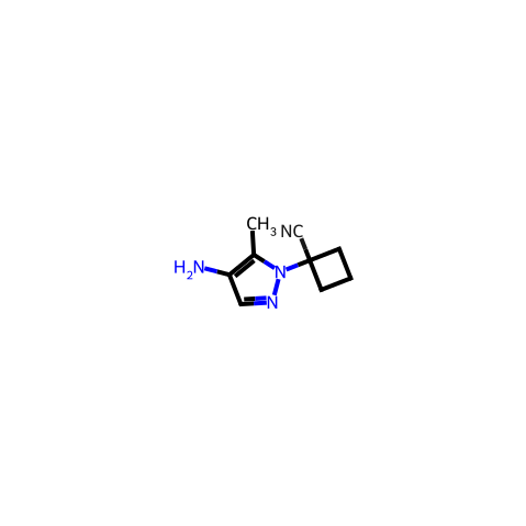 Cc1c(N)cnn1C1(C#N)CCC1